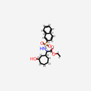 CCOC(=O)[C@H](NS(=O)(=O)c1ccc2ccccc2c1)C1CCCCC(O)C1